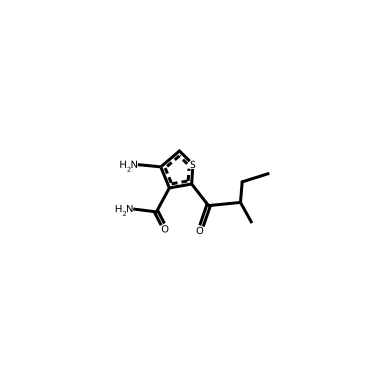 CCC(C)C(=O)c1scc(N)c1C(N)=O